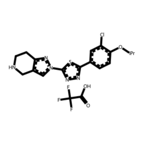 CC(C)Oc1ccc(-c2nnc(-n3cc4c(n3)CCNC4)s2)cc1Cl.O=C(O)C(F)(F)F